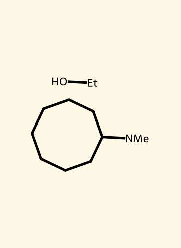 CCO.CNC1CCCCCCC1